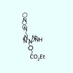 CCOC(=O)CCc1ccc(CN(Cc2ncc[nH]2)Cc2nccn2CCCN2CCC3(CCN(C4CCCCC4)CC3)C2)cc1